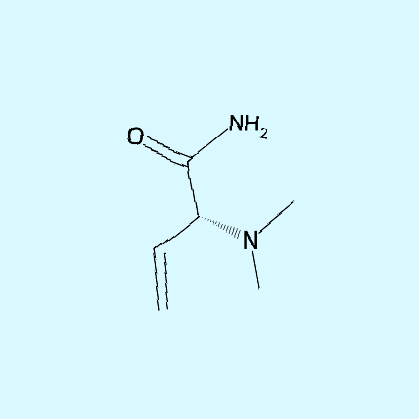 C=C[C@H](C(N)=O)N(C)C